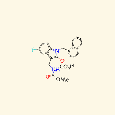 COC(=O)NCc1c(OC(=O)O)n(Cc2cccc3ccccc23)c2ccc(F)cc12